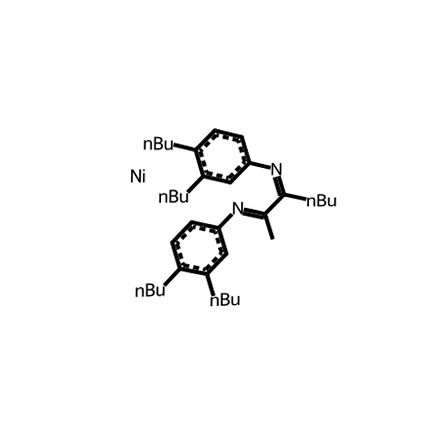 CCCCC(=Nc1ccc(CCCC)c(CCCC)c1)C(C)=Nc1ccc(CCCC)c(CCCC)c1.[Ni]